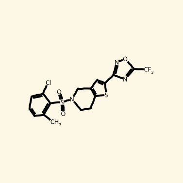 Cc1cccc(Cl)c1S(=O)(=O)N1CCc2sc(-c3noc(C(F)(F)F)n3)cc2C1